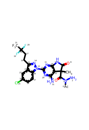 CC(=O)N(N)C(=O)C1(C)C(=O)Nc2nc(-n3nc(CCC(F)(F)C(F)(F)F)c4cc(Cl)ccc43)nc(N)c21